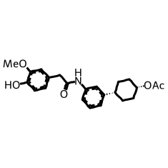 COc1cc(CC(=O)Nc2cccc([C@H]3CC[C@@H](OC(C)=O)CC3)c2)ccc1O